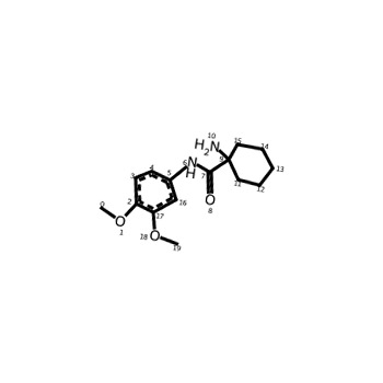 COc1ccc(NC(=O)C2(N)CCCCC2)cc1OC